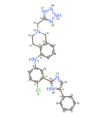 Clc1ccc(Nc2cccc3c2CCN(Cc2nn[nH]n2)C3)cc1-c1ncc(-c2ccccc2)[nH]1